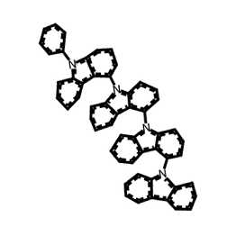 c1ccc(-n2c3ccccc3c3c(-n4c5ccccc5c5c(-n6c7ccccc7c7c(-n8c9ccccc9c9ccccc98)cccc76)cccc54)cccc32)cc1